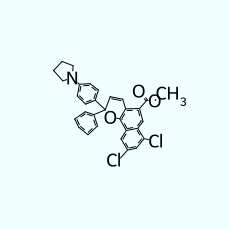 COC(=O)c1cc2c(Cl)cc(Cl)cc2c2c1C=CC(c1ccccc1)(c1ccc(N3CCCC3)cc1)O2